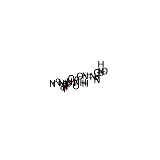 N#Cc1cccc2[nH]c(-c3ccccc3OC3(C(F)(F)F)CCN(C(=O)[C@H]4CC(=O)Nc5cc(OCCNCC6CCN(c7cncc(C8CCC(=O)NC8=O)c7)CC6)ccc54)CC3)cc12